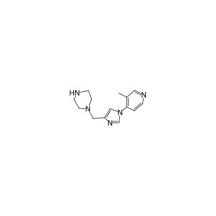 Cc1cnccc1-n1cnc(CN2CCNCC2)c1